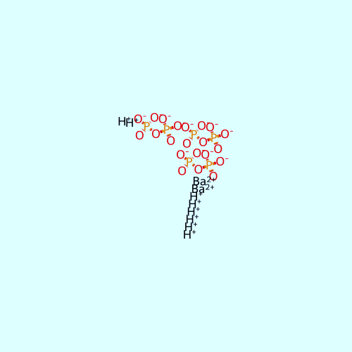 O=P([O-])([O-])OP(=O)([O-])[O-].O=P([O-])([O-])OP(=O)([O-])[O-].O=P([O-])([O-])OP(=O)([O-])[O-].[Ba+2].[Ba+2].[H+].[H+].[H+].[H+].[H+].[H+].[H+].[H+]